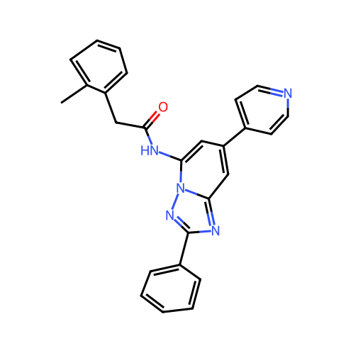 Cc1ccccc1CC(=O)Nc1cc(-c2ccncc2)cc2nc(-c3ccccc3)nn12